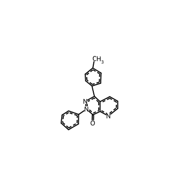 Cc1ccc(-c2nn(-c3ccccc3)c(=O)c3ncccc23)cc1